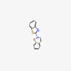 C1=CN(c2nc3ccccc3s2)Sc2ccccc21